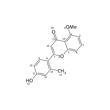 COc1cccc2oc(-c3ccc(O)cc3C)cc(=O)c12